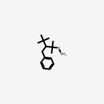 CC(C)(C)C(Cc1ccccc1)C(C)(C)O[SiH3]